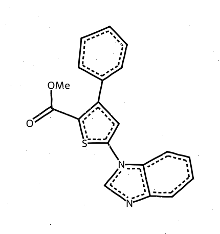 COC(=O)c1sc(-n2cnc3ccccc32)cc1-c1ccccc1